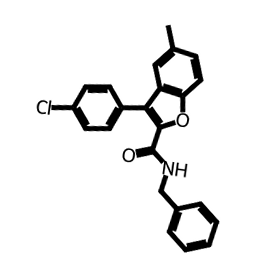 Cc1ccc2oc(C(=O)NCc3ccccc3)c(-c3ccc(Cl)cc3)c2c1